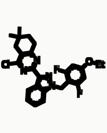 CCOc1cc(F)c(Cn2nc(-c3nc(Cl)c4c(n3)CCC(C)(C)C4)c3ccccc32)c(F)c1